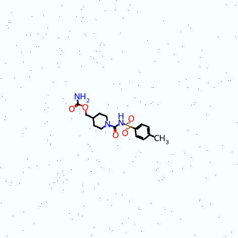 Cc1ccc(S(=O)(=O)NC(=O)N2CCC(COC(N)=O)CC2)cc1